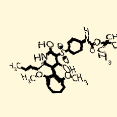 CCCC[C@H]1NC(O)C(S(=O)(=O)C2CCC(NC(=O)OC(C)(C)C)CC2)C(O)C1C1=C(OC)CCCC=C1OC